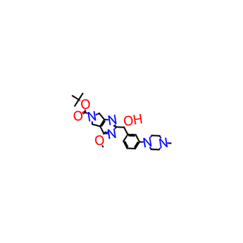 COc1nc(C(O)c2cccc(N3CCN(C)CC3)c2)nc2c1CN(C(=O)OC(C)(C)C)C2